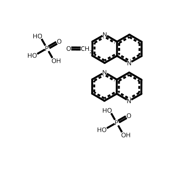 C=O.O=P(O)(O)O.O=P(O)(O)O.c1cnc2cccnc2c1.c1cnc2cccnc2c1